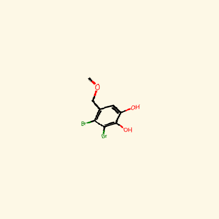 COCc1cc(O)c(O)c(Br)c1Br